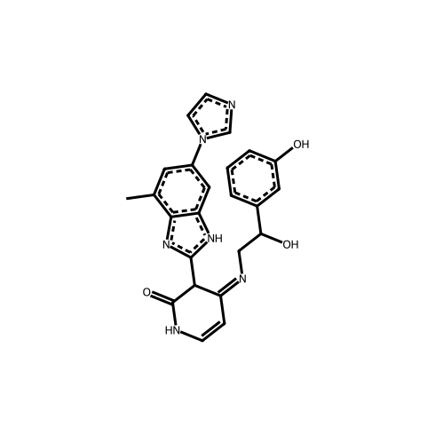 Cc1cc(-n2ccnc2)cc2[nH]c(C3C(=O)NC=C/C3=N/CC(O)c3cccc(O)c3)nc12